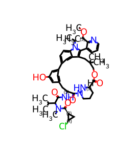 CCn1c(-c2cccnc2[C@H](C)OC)c2c3cc(ccc31)-c1cc(O)cc(c1)C[C@H](NC(=O)C(C(C)C)N(C)C(=O)[C@H]1C[C@H]1Cl)C(=O)N1CCC[C@H](N1)C(=O)OCC(C)(C)C2